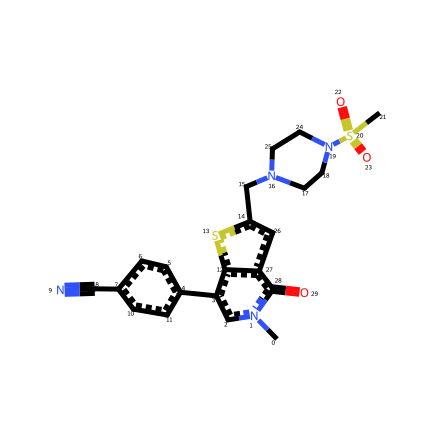 Cn1cc(-c2ccc(C#N)cc2)c2sc(CN3CCN(S(C)(=O)=O)CC3)cc2c1=O